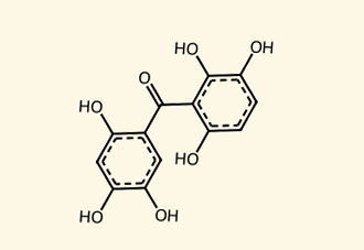 O=C(c1cc(O)c(O)cc1O)c1c(O)ccc(O)c1O